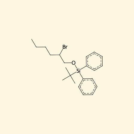 CCCCC(Br)CO[Si](c1ccccc1)(c1ccccc1)C(C)(C)C